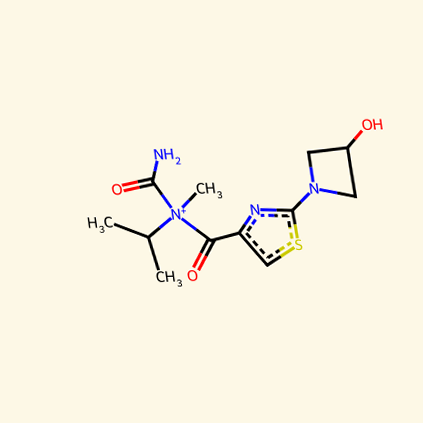 CC(C)[N+](C)(C(N)=O)C(=O)c1csc(N2CC(O)C2)n1